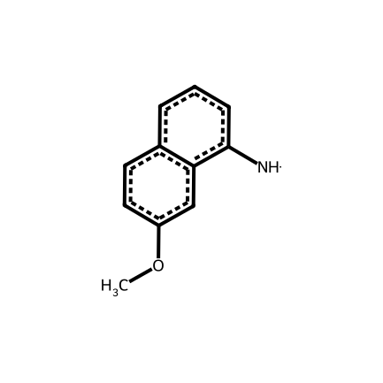 COc1ccc2cccc([NH])c2c1